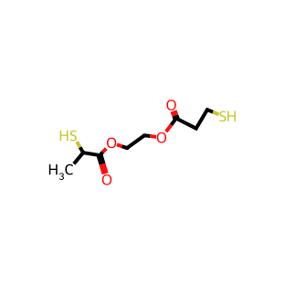 CC(S)C(=O)OCCOC(=O)CCS